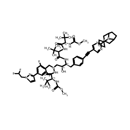 COC(=O)N[C@H](C(=O)NC(C(=O)N[C@@H](Cc1ccc(C#Cc2cnc(N3CC4CCC(C3)N4C3COC3)nc2)cc1)[C@@H](O)CN(Cc1c(F)cc(-c2ccn(CC(F)F)n2)cc1F)NC(=O)[C@@H](NC(=O)OC)C(C)(C)C)C(C)(C)C)C(C)(C)C